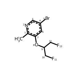 Cc1ncc(Br)cc1OC(CF)CF